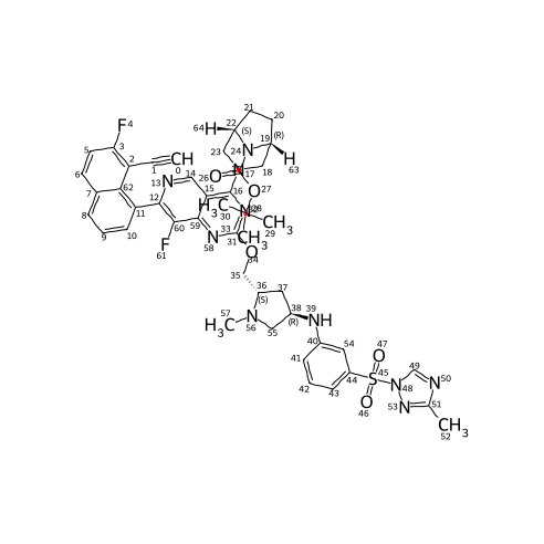 C#Cc1c(F)ccc2cccc(-c3ncc4c(N5C[C@H]6CC[C@@H](C5)N6C(=O)OC(C)(C)C)nc(OC[C@@H]5C[C@@H](Nc6cccc(S(=O)(=O)n7cnc(C)n7)c6)CN5C)nc4c3F)c12